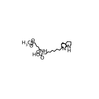 CS(=O)(=O)CCCC(=O)N[C@@H](CCCCCCCc1ccc2c(n1)NCCC2)C(=O)O